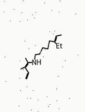 C=C/C(C)=C(/C)NCCCCC/C(=C/C)CC